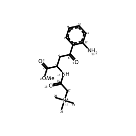 COC(=O)C(CC(=O)c1ccccc1N)NC(=O)C[N+](C)(C)C